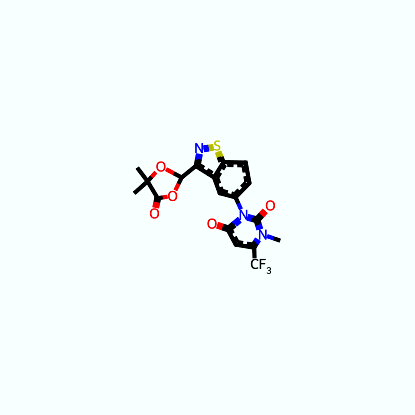 Cn1c(C(F)(F)F)cc(=O)n(-c2ccc3snc(C4OC(=O)C(C)(C)O4)c3c2)c1=O